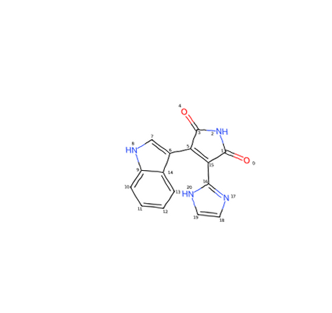 O=C1NC(=O)C(c2c[nH]c3ccccc23)=C1c1ncc[nH]1